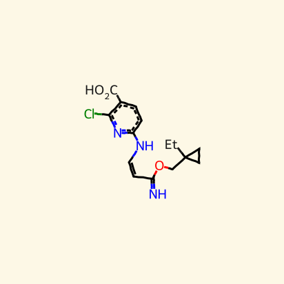 CCC1(COC(=N)/C=C\Nc2ccc(C(=O)O)c(Cl)n2)CC1